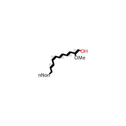 CCCCCCCCCC/C=C/C=C\C=C\C=C\C(=C\O)OC